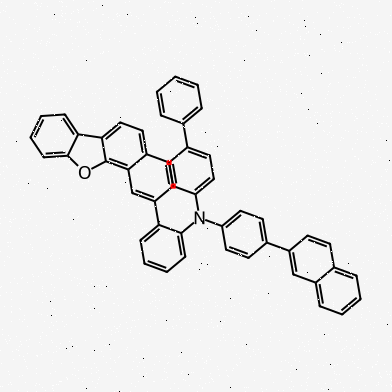 c1ccc(-c2ccc(N(c3ccc(-c4ccc5ccccc5c4)cc3)c3ccccc3-c3ccc4ccc5c6ccccc6oc5c4c3)cc2)cc1